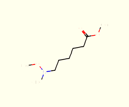 CC(C)(C)OC(=O)CCCCCN(C=O)OC(C)(C)C